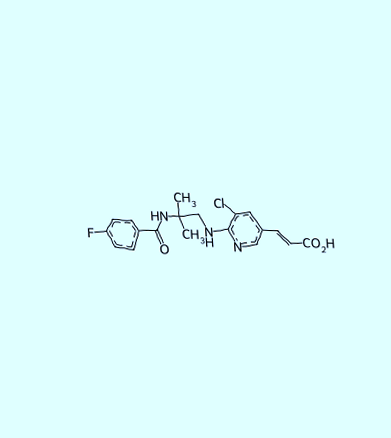 CC(C)(CNc1ncc(C=CC(=O)O)cc1Cl)NC(=O)c1ccc(F)cc1